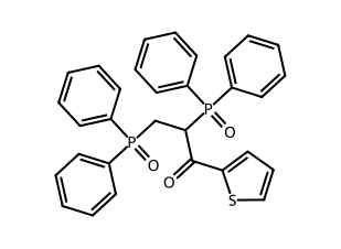 O=C(c1cccs1)C(CP(=O)(c1ccccc1)c1ccccc1)P(=O)(c1ccccc1)c1ccccc1